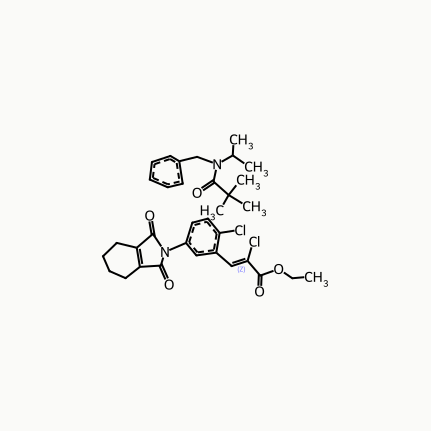 CC(C)N(Cc1ccccc1)C(=O)C(C)(C)C.CCOC(=O)/C(Cl)=C/c1cc(N2C(=O)C3=C(CCCC3)C2=O)ccc1Cl